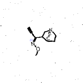 C#C/C(=N/OC)C1CN2CCC1CC2